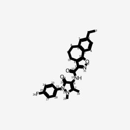 CCc1ccc2c(c1)CCCc1c(C(=O)Nc3c(C)n(C)n(-c4ccc(F)cc4)c3=O)noc1-2